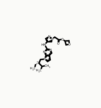 CC[C@H](Cn1ccc2cnc(Nc3cnn(CC(=O)OC4COC4)c3)nc21)C(C)C